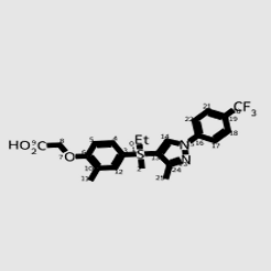 CCS(C)(c1ccc(OCC(=O)O)c(C)c1)c1cn(-c2ccc(C(F)(F)F)cc2)nc1C